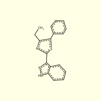 CCc1nc(-c2n[nH]c3ccccc23)sc1-c1ccccc1